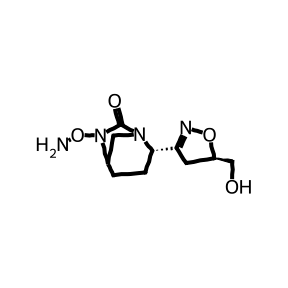 NON1C(=O)N2CC1CC[C@H]2C1=NO[C@@H](CO)C1